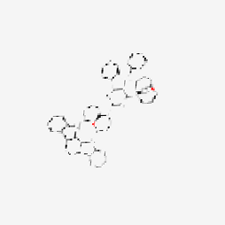 c1ccc(-c2nc(-c3ccc(-n4c5ccccc5c5ccc6c7ccccc7n(-c7ccccc7)c6c54)cc3)nc3c2[Si](c2ccccc2)(c2ccccc2)c2ccccc2-3)cc1